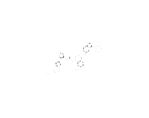 C[C@H]1CCCCN1c1nnc2ccc(O[C@@H]3CC[C@H](NC(=O)Nc4cc(C(C)(C)C)nn4-c4ccn(CCN(C)C)n4)c4ccccc43)cn12.O=CO